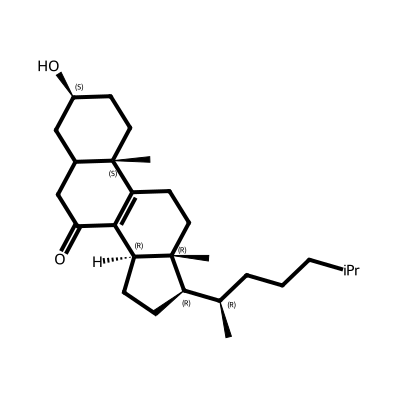 CC(C)CCC[C@@H](C)[C@H]1CC[C@H]2C3=C(CC[C@]12C)[C@@]1(C)CC[C@H](O)CC1CC3=O